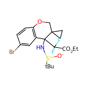 CCOC(=O)C(F)(F)C1(N[S+]([O-])C(C)(C)C)c2cc(Br)ccc2OCC12CC2